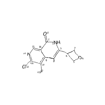 O=c1[nH]c(C2COC2)cc2c(F)c(Cl)ncc12